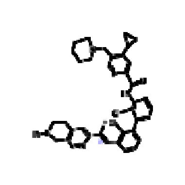 CC(C)N1CCc2cc(/C(F)=C/c3cccc(-c4cccc(NC(=O)c5cc(C6CC6)c(CN6CCCCC6)cn5)c4Cl)c3Cl)ncc2C1